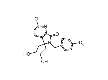 COc1ccc(CN2C(=O)c3nc(Cl)ccc3C2(CCO)CCO)cc1